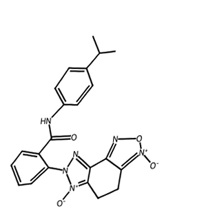 CC(C)c1ccc(NC(=O)c2ccccc2-n2nc3c([n+]2[O-])CCc2c-3no[n+]2[O-])cc1